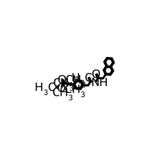 C=C(Cc1ccc(C(C)(C)C(=O)OC(C)(C)C)cc1)NC(=O)Cc1ccc2ccccc2c1